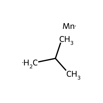 [CH2]C(C)C.[Mn]